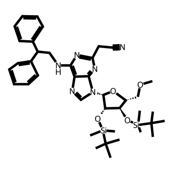 COC[C@H]1O[C@@H](n2cnc3c(NCC(c4ccccc4)c4ccccc4)nc(CC#N)nc32)[C@@H](O[Si](C)(C)C(C)(C)C)[C@@H]1O[Si](C)(C)C(C)(C)C